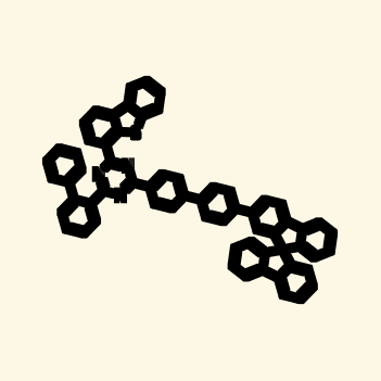 c1ccc(-c2ccccc2-c2nc(-c3ccc(-c4ccc(-c5ccc6c(c5)C5(c7ccccc7-c7ccccc75)c5ccccc5-6)cc4)cc3)nc(-c3cccc4c3sc3ccccc34)n2)cc1